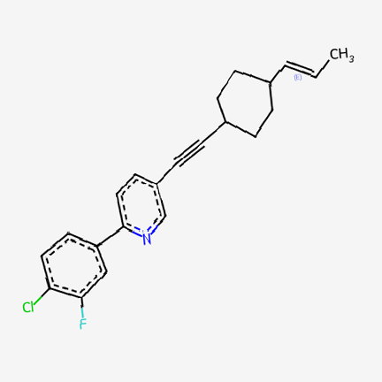 C/C=C/C1CCC(C#Cc2ccc(-c3ccc(Cl)c(F)c3)nc2)CC1